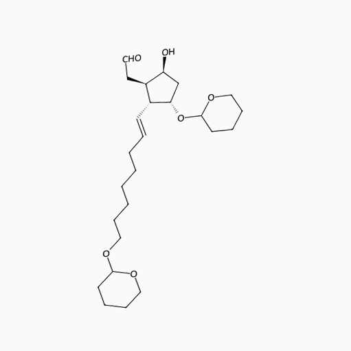 O=CC[C@@H]1[C@@H](C=CCCCCCCOC2CCCCO2)[C@@H](OC2CCCCO2)C[C@@H]1O